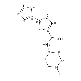 CN1CCC(NC(=O)c2cc(-c3cccs3)on2)CC1